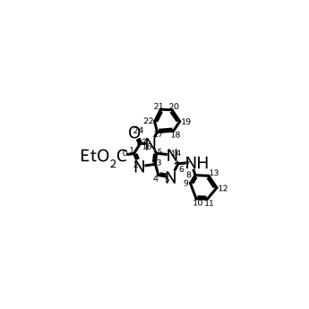 CCOC(=O)c1nc2cnc(Nc3ccccc3)nc2n(-c2ccccc2)c1=O